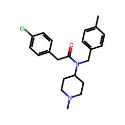 Cc1ccc(CN(C(=O)Cc2ccc(Cl)cc2)C2CCN(C)CC2)cc1